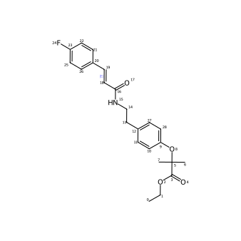 CCOC(=O)C(C)(C)Oc1ccc(CCNC(=O)/C=C/c2ccc(F)cc2)cc1